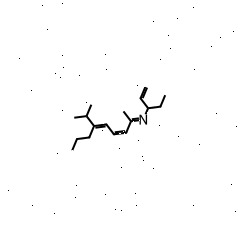 C=CC(CC)/N=C(C)/C=C\C=C(/CCC)C(C)C